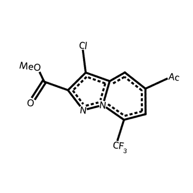 COC(=O)c1nn2c(C(F)(F)F)cc(C(C)=O)cc2c1Cl